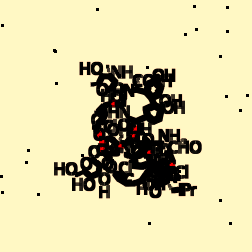 CC(C)C[C@H](C(=O)N[C@H]1C(=O)N[C@@H](CC(N)=O)C(=O)N[C@H]2C(=O)N[C@H]3C(=O)N[C@H](C(=O)N[C@H](C(=O)O)c4cc(O)cc(O)c4-c4cc3ccc4O)[C@H](O[C@H]3C[C@](C)(N)[C@@H](O)[C@H](C)O3)c3ccc(c(Cl)c3)Oc3cc2cc(c3O[C@@H]2O[C@H](CO)[C@@H](O)[C@H](O)[C@H]2O[C@H]2C[C@](C)(NCc3ccc(-c4ccc(Cl)cc4)cc3)[C@@H](O)[C@H](C)O2)Oc2ccc(cc2Cl)[C@H]1O)N(C)C(=O)CC(C=O)C=O